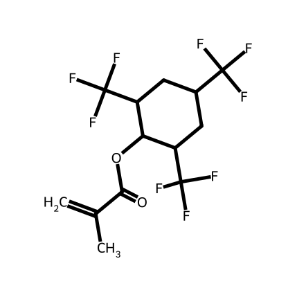 C=C(C)C(=O)OC1C(C(F)(F)F)CC(C(F)(F)F)CC1C(F)(F)F